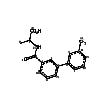 CC(NC(=O)c1cc(-c2cccc(C(F)(F)F)c2)ccn1)C(=O)O